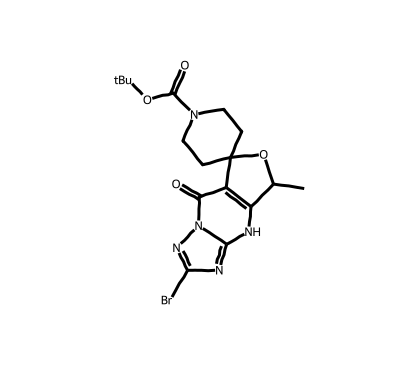 CC1OC2(CCN(C(=O)OC(C)(C)C)CC2)c2c1[nH]c1nc(Br)nn1c2=O